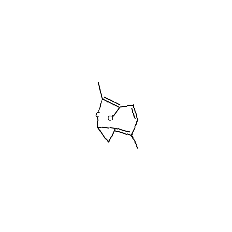 C\C1=C(Cl)/C=C\C(C)=C2/CC2C1